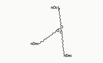 CCCCCCCCC=CCCCCCCCCOC(COCCCCCCCCCCCCCCCCCCCCCC)COCCCCCCCCCCCCCCCCCCCCCC